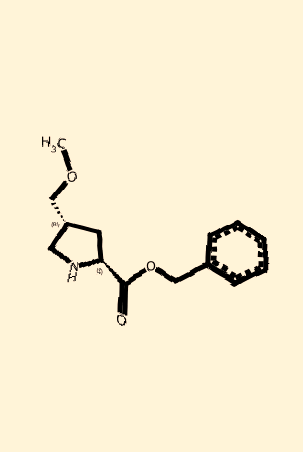 COC[C@H]1CN[C@H](C(=O)OCc2ccccc2)C1